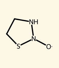 [O]N1NCCS1